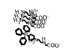 NCCNCC(=O)[O-].NCCNCC(=O)[O-].NCCNCC(=O)[O-].NCCNCC(=O)[O-].[Ni+3].c1ccc([P+](c2ccccc2)(c2ccccc2)c2ccccc2)cc1